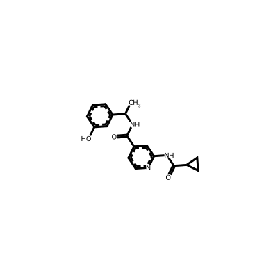 CC(NC(=O)c1ccnc(NC(=O)C2CC2)c1)c1cccc(O)c1